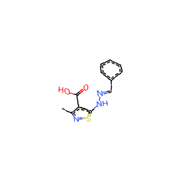 Cc1nsc(NN=Cc2ccccc2)c1C(=O)O